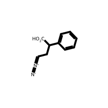 [N-]=[N+]=CCC(C(=O)O)c1ccccc1